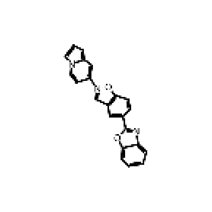 c1ccc2oc(-c3ccc4o[n+](-c5ccn6cccc6c5)cc4c3)nc2c1